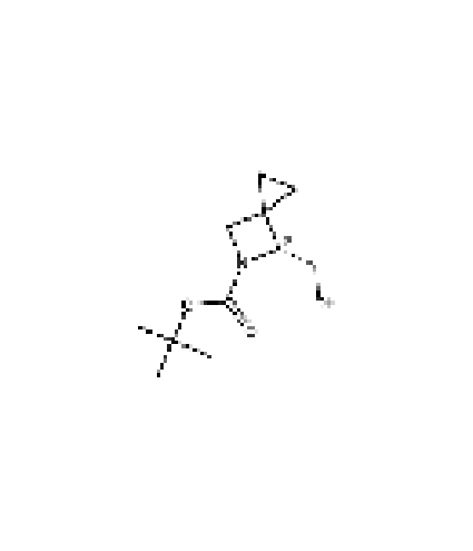 CC(C)(C)OC(=O)N1CC2(CC2)[C@@H]1CO